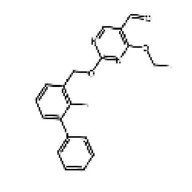 CCOc1nc(OCc2cccc(-c3ccccc3)c2C)ncc1C=O